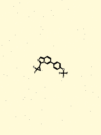 FC(F)(F)Oc1ccc(-c2ccc3cnc(C4CC4(F)F)n3c2)cc1